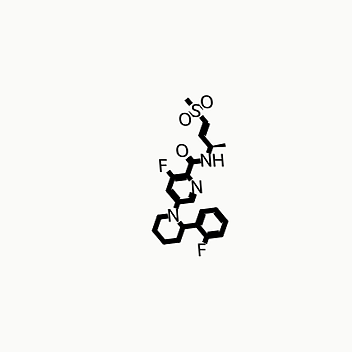 C[C@H](/C=C/S(C)(=O)=O)NC(=O)c1ncc(N2CCCCC2c2ccccc2F)cc1F